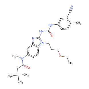 CCOCCCn1c(NC(=O)Nc2ccc(C)c(C#N)c2)nc2cc(N(C)C(=O)CC(C)(C)C)ccc21